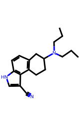 CCCN(CCC)C1CCc2c(ccc3[nH]cc(C#N)c23)C1